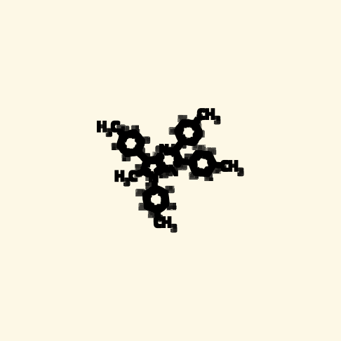 Cc1ccc(-c2nc3c(-c4ccc(C)cc4)c(C)n(-c4ccc(C)cc4)c3nc2-c2ccc(C)cc2)cc1